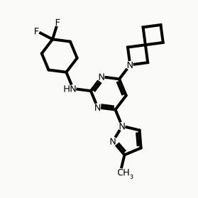 Cc1ccn(-c2cc(N3CC4(CCC4)C3)nc(NC3CCC(F)(F)CC3)n2)n1